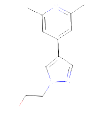 Cc1cc(-c2cnn(CCO)c2)cc(C)n1